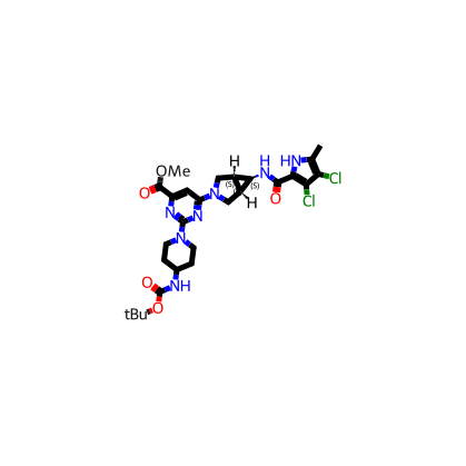 COC(=O)c1cc(N2C[C@@H]3[C@H](C2)[C@H]3NC(=O)c2[nH]c(C)c(Cl)c2Cl)nc(N2CCC(NC(=O)OC(C)(C)C)CC2)n1